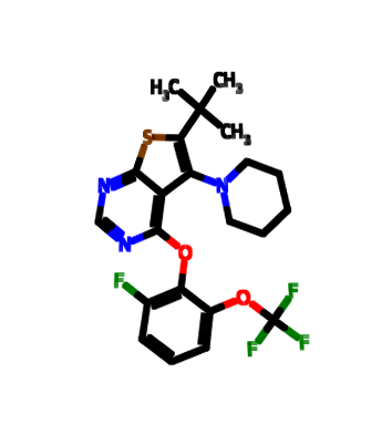 CC(C)(C)c1sc2ncnc(Oc3c(F)cccc3OC(F)(F)F)c2c1N1CCCCC1